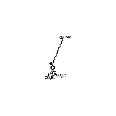 CCOC(=O)C(O)C(OC(=O)c1ccc(NCCCCCCCCCCCCCCCC(=O)OC)cc1)C(=O)OCC